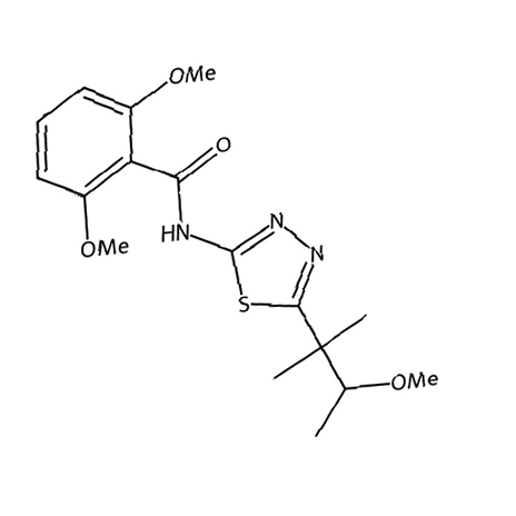 COc1cccc(OC)c1C(=O)Nc1nnc(C(C)(C)C(C)OC)s1